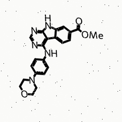 COC(=O)c1ccc2c(c1)[nH]c1ncnc(Nc3ccc(N4CCOCC4)cc3)c12